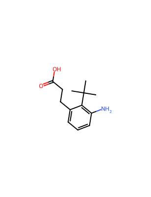 CC(C)(C)c1c(N)cccc1CCC(=O)O